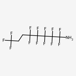 NC(F)(F)C(F)(F)C(F)(F)C(F)(F)C(F)(F)CCC(F)(F)F